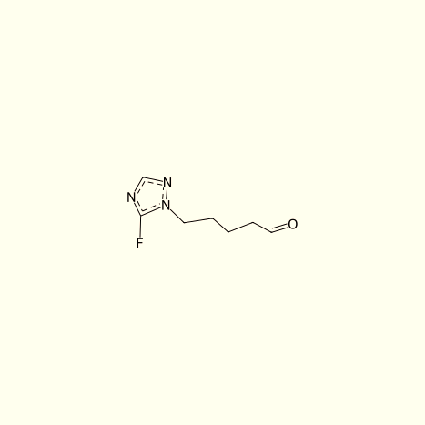 O=CCCCCn1ncnc1F